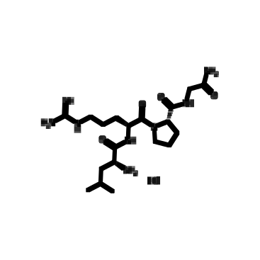 CC(C)C[C@H](N)C(=O)N[C@@H](CCCNC(=N)N)C(=O)N1CCC[C@H]1C(=O)NCC(N)=O.Cl